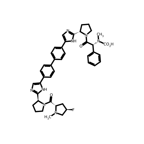 CN1C[C@H](F)C[C@H]1C(=O)N1CCC[C@H]1c1ncc(-c2ccc(-c3ccc(-c4cnc([C@@H]5CCCN5C(=O)[C@@H](c5ccccc5)N(C)C(=O)O)[nH]4)cc3)cc2)[nH]1